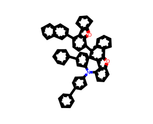 c1ccc(-c2ccc(N(c3cccc(-c4ccccc4)c3)c3cccc4oc5c6ccccc6c(-c6ccc(-c7ccc8ccccc8c7)c7c6oc6ccccc67)cc5c34)cc2)cc1